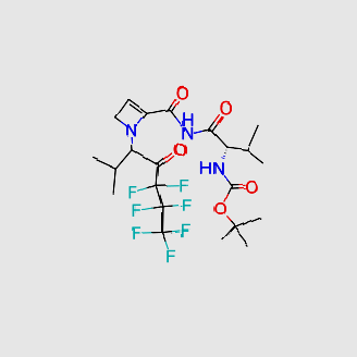 CC(C)C(C(=O)C(F)(F)C(F)(F)C(F)(F)F)N1CC=C1C(=O)NC(=O)[C@@H](NC(=O)OC(C)(C)C)C(C)C